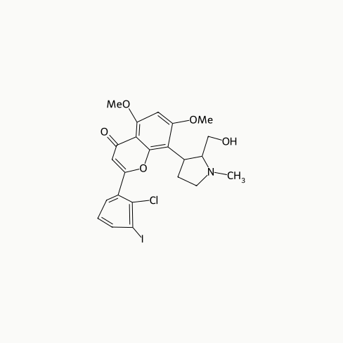 COc1cc(OC)c2c(=O)cc(-c3cccc(I)c3Cl)oc2c1C1CCN(C)C1CO